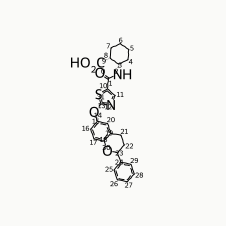 O=C(N[C@H]1CCCC[C@H]1C(=O)O)c1cnc(Oc2ccc3c(c2)CCC(c2ccccc2)O3)s1